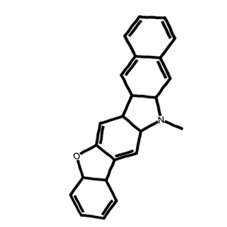 CN1C2C=C3C(=CC2C2C=c4ccccc4=CC21)OC1C=CC=CC31